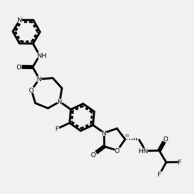 O=C(NC[C@H]1CN(c2ccc(N3CCON(C(=O)Nc4ccncc4)CC3)c(F)c2)C(=O)O1)C(F)F